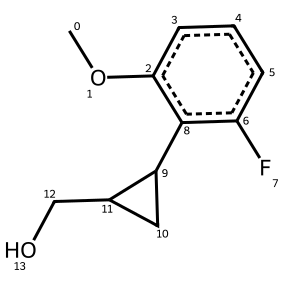 COc1cccc(F)c1C1CC1CO